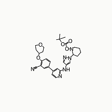 CC(C)(C)OC(=O)ON1CCCCC1n1cc(Nc2cc(-c3ccc(OC4CCOCC4)c(C#N)c3)ccn2)cn1